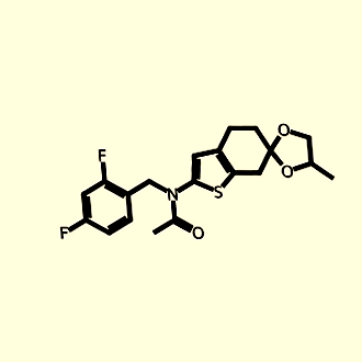 CC(=O)N(Cc1ccc(F)cc1F)c1cc2c(s1)CC1(CC2)OCC(C)O1